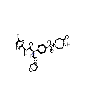 O=C1CCN(S(=O)(=O)c2ccc(/C(=N\O[C@@H]3CCOC3)C(=O)Nc3ncc(F)s3)cc2)CCN1